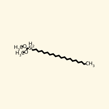 CCCCCCCCCCCCCCCCCCCC[SiH2]C(OC)OC